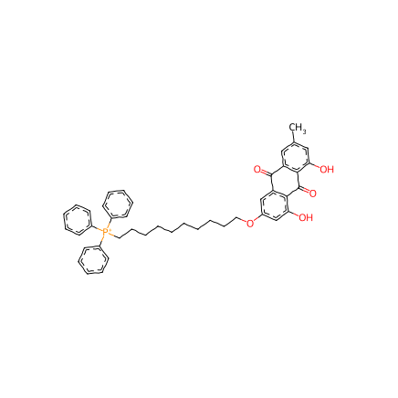 Cc1cc(O)c2c(c1)C(=O)c1cc(OCCCCCCCCCC[P+](c3ccccc3)(c3ccccc3)c3ccccc3)cc(O)c1C2=O